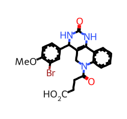 COc1ccc(C2NC(=O)NC3=C2CN(C(=O)CCC(=O)O)c2ccccc23)cc1Br